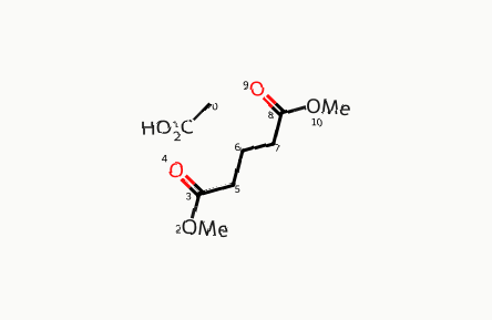 CC(=O)O.COC(=O)CCCC(=O)OC